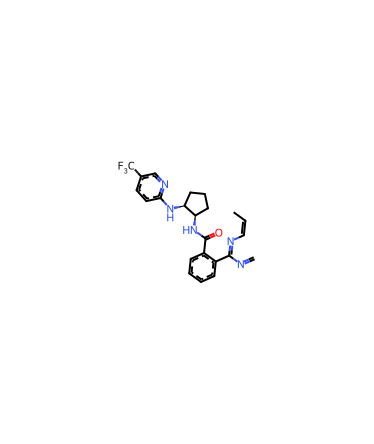 C=N/C(=N\C=C/C)c1ccccc1C(=O)N[C@@H]1CCC[C@@H]1Nc1ccc(C(F)(F)F)cn1